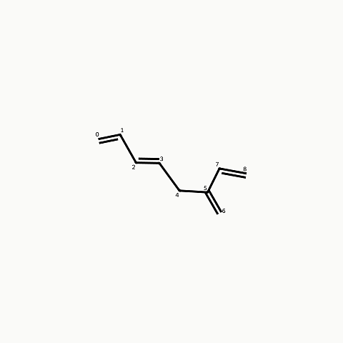 C=CC=CCC(=C)C=C